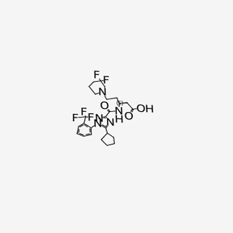 O=C(O)C[C@H](CCN1CCCC(F)(F)C1)NC(=O)c1nc(C2CCCC2)n(-c2ccccc2C(F)(F)F)n1